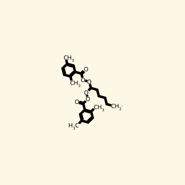 [CH2]CCCC[C](OOC(=O)c1cc(C)ccc1C)OOC(=O)c1cc(C)ccc1C